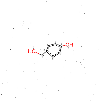 O[CH]c1ccc(O)cc1